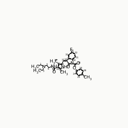 CCN(CC)CCNC(=O)c1c(C)[nH]c(/C=C2\C(=O)N(C(=O)Oc3ccc(C)cc3)c3ccc(F)cc32)c1C